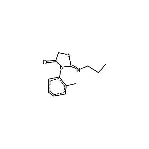 CCCN=C1SCC(=O)N1c1ccccc1C